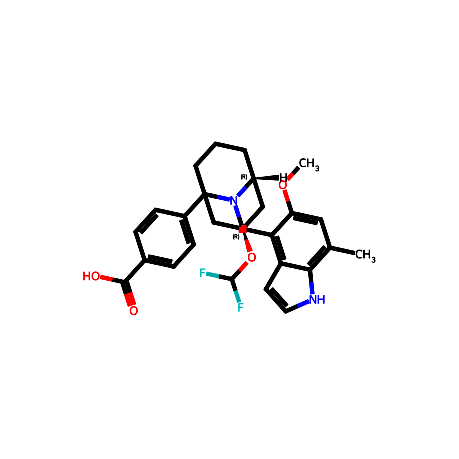 COc1cc(C)c2[nH]ccc2c1CN1[C@@H]2CCCC1(c1ccc(C(=O)O)cc1)C[C@H](OC(F)F)C2